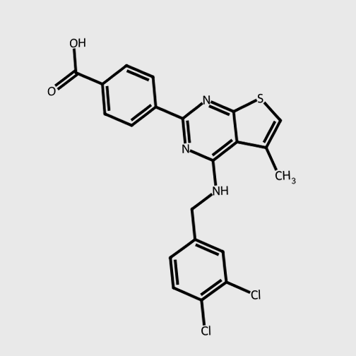 Cc1csc2nc(-c3ccc(C(=O)O)cc3)nc(NCc3ccc(Cl)c(Cl)c3)c12